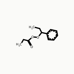 CCC(=O)OOC(CC)c1ccccc1